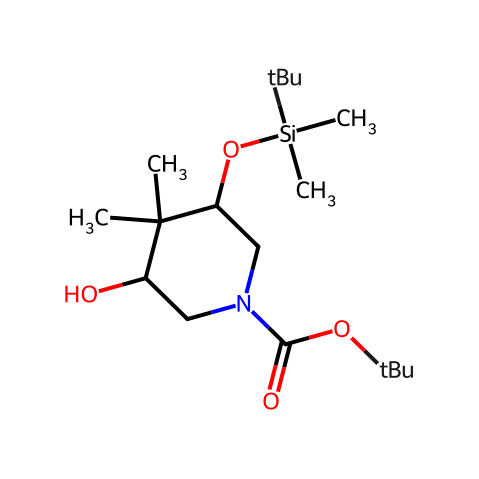 CC(C)(C)OC(=O)N1CC(O)C(C)(C)C(O[Si](C)(C)C(C)(C)C)C1